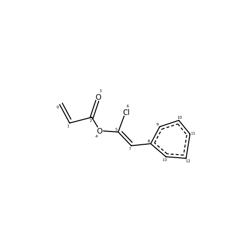 C=CC(=O)OC(Cl)=Cc1ccccc1